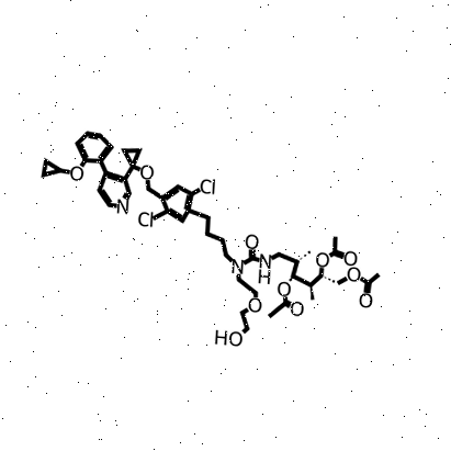 CC(=O)OC[C@@H](OC(C)=O)[C@@H](C)[C@H](OC(C)=O)[C@@H](C)CNC(=O)N(CCCCc1cc(Cl)c(COC2(c3cnccc3-c3ccccc3OC3CC3)CC2)cc1Cl)CCOCCO